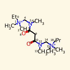 CC[N+](C)(C)CN(C)C(=O)CC(=O)N(C)C[N+](C)(C)C(C)C